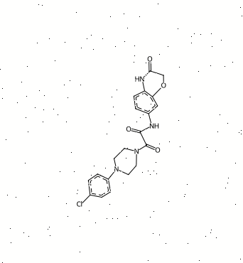 O=C1COc2cc(NC(=O)C(=O)N3CCN(c4ccc(Cl)cc4)CC3)ccc2N1